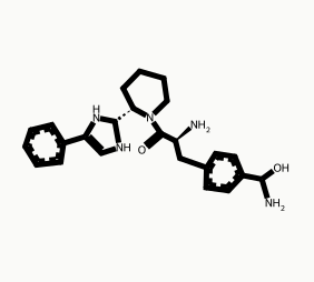 NC(O)c1ccc(C[C@H](N)C(=O)N2CCCC[C@H]2C2NC=C(c3ccccc3)N2)cc1